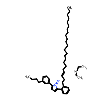 CCCCCCCCCCCCCCCCCCCC=CCCc1ccccc1C1=CC=C(c2cccc(CCCC)c2)[N+]1=[N-].C[CH2][Ni][CH2]C